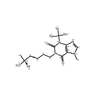 [2H]C([2H])([2H])n1c(=O)n(CCCC[C@@]([2H])(C)O)c(=O)c2c1ncn2C